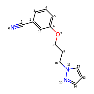 N#Cc1cccc(OCCCn2cccn2)c1